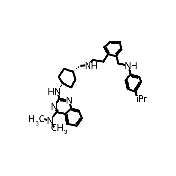 CC(C)c1ccc(NCc2ccccc2CCNC[C@H]2CC[C@@H](Nc3nc(N(C)C)c4ccccc4n3)CC2)cc1